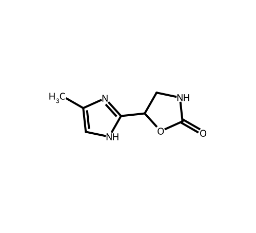 Cc1c[nH]c(C2CNC(=O)O2)n1